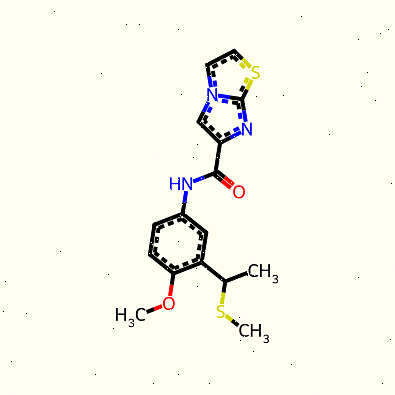 COc1ccc(NC(=O)c2cn3ccsc3n2)cc1C(C)SC